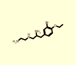 CCOc1ccc(CC(N)CNCCN)cc1Br